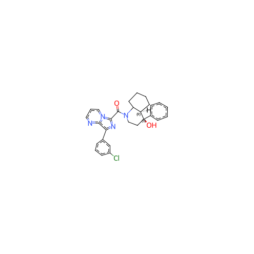 O=C(c1nc(-c2cccc(Cl)c2)c2ncccn12)N1CC[C@@](O)(c2ccccc2)[C@@H]2CCCCC21